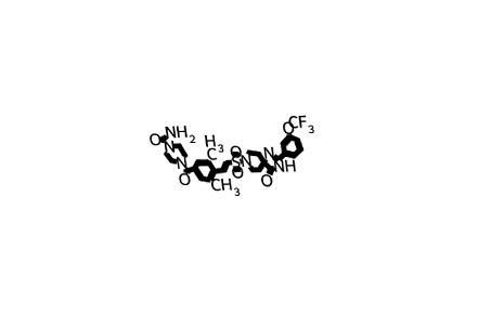 Cc1cc(C(=O)N2CCN(C(N)=O)CC2)cc(C)c1C=CS(=O)(=O)N1CCC2(CC1)N=C(c1cccc(OC(F)(F)F)c1)NC2=O